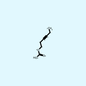 CCC#CCCOC(=O)O